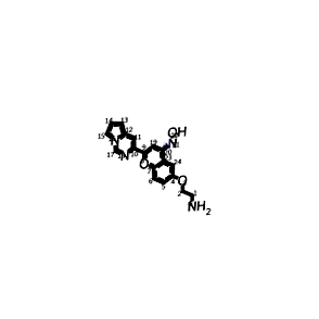 NCCOc1ccc2oc(-c3cc4cccn4cn3)c/c(=N\O)c2c1